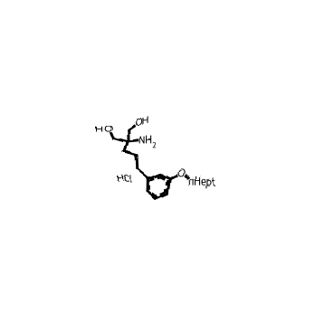 CCCCCCCOc1cccc(CCCC(N)(CO)CO)c1.Cl